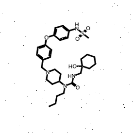 CCCCN(C(=O)NCC1(O)CCCCC1)C1CCN(Cc2ccc(Oc3ccc(NS(C)(=O)=O)cc3)cc2)CC1